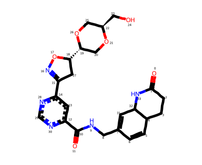 O=C1CCC2C=CC(CNC(=O)c3cc(C4=NOC([C@H]5CO[C@H](CO)CO5)C4)ncn3)=CC2N1